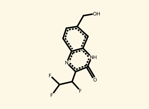 O=c1[nH]c2cc(CO)ccc2nc1C(F)C(F)F